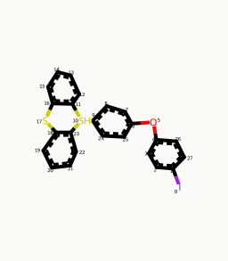 Ic1ccc(Oc2ccc([SH]3c4ccccc4Sc4ccccc43)cc2)cc1